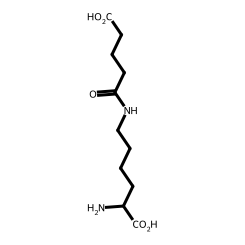 NC(CCCCNC(=O)CCCC(=O)O)C(=O)O